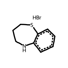 Br.c1ccc2c(c1)NCCCS2